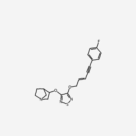 Fc1ccc(C#C/C=C/COc2nsnc2OC2CN3CCC2C3)cc1